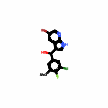 COc1cc(C(O)c2c[nH]c3ncc(Br)cc23)cc(Cl)c1F